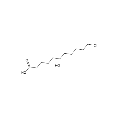 Cl.O=C(O)CCCCCCCCCCCl